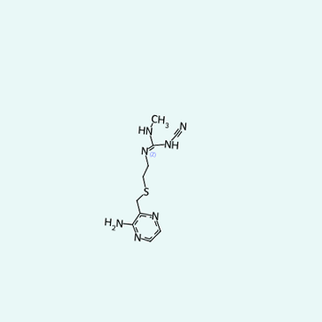 CN/C(=N/CCSCc1nccnc1N)NC#N